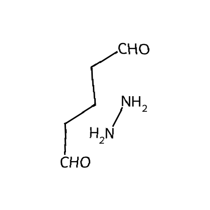 NN.O=CCCCC=O